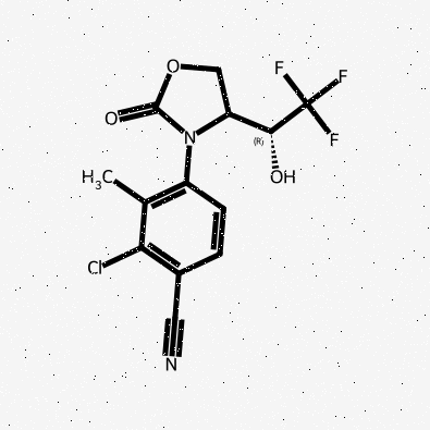 Cc1c(N2C(=O)OCC2[C@@H](O)C(F)(F)F)ccc(C#N)c1Cl